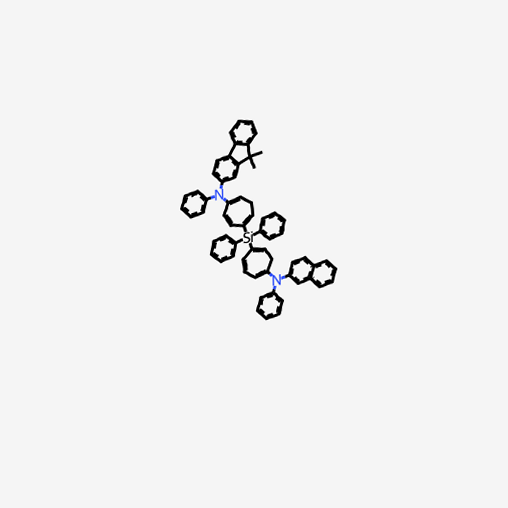 CC1(C)c2ccccc2-c2ccc(N(C3=CCC=C([Si](C4=CCC(N(c5ccccc5)c5ccc6ccccc6c5)=CC=C4)(c4ccccc4)c4ccccc4)C=C3)c3ccccc3)cc21